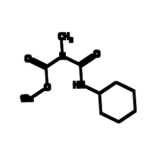 CN(C(=O)NC1CCCCC1)C(=O)OC(C)(C)C